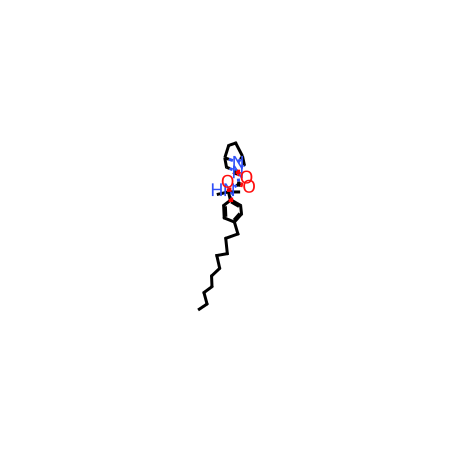 CCCCCCCCCCc1ccc(NC(=O)N2CC3CCC(C2)N3C(=O)OC(C)(C)C)cc1